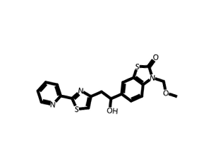 COCn1c(=O)sc2cc(C(O)Cc3csc(-c4ccccn4)n3)ccc21